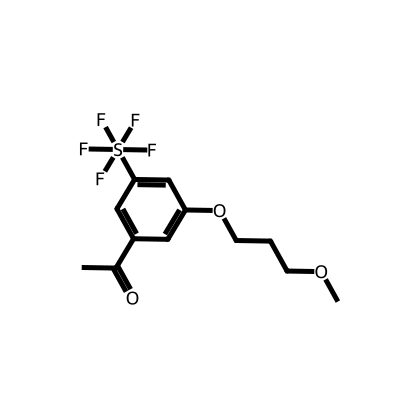 COCCCOc1cc(C(C)=O)cc(S(F)(F)(F)(F)F)c1